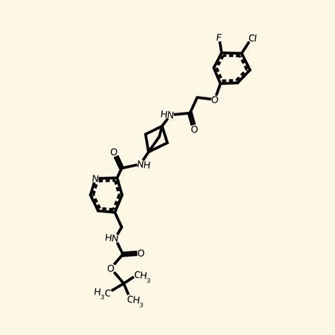 CC(C)(C)OC(=O)NCc1ccnc(C(=O)NC23CC(NC(=O)COc4ccc(Cl)c(F)c4)(C2)C3)c1